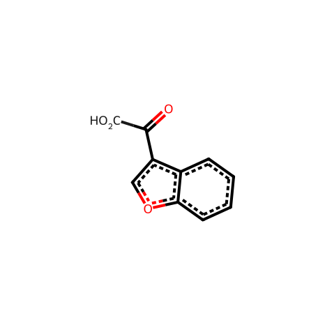 O=C(O)C(=O)c1coc2ccccc12